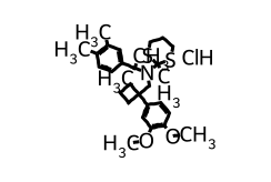 COc1ccc(C2(CN(C3(C)SCCCS3)C(C)(C)c3ccc(C)c(C)c3)CCC2)cc1OC.Cl